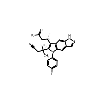 CC(C)(CC#N)c1c([C@@H](F)CC(=O)O)c2cc3[nH]ncc3cc2n1-c1ccc(F)cc1